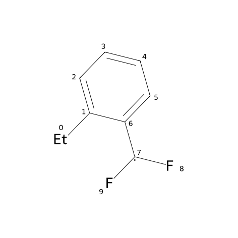 CCc1ccccc1[C](F)F